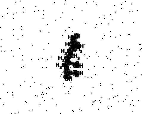 Cc1cc(N=Nc2cc(C)c(N=Nc3cc(C)c(N=Nc4c(S(=O)(=O)O)cc5cc(Nc6ccccc6)ccc5c4O)cc3C)cc2C)c(OCCCCS(=O)(=O)O)cc1N=Nc1ccc2cc(S(=O)(=O)O)cc(OCCCS(=O)(=O)O)c2c1